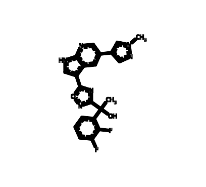 Cn1cc(-c2cnc3[nH]cc(-c4nc(C(C)(O)c5cccc(F)c5F)no4)c3c2)cn1